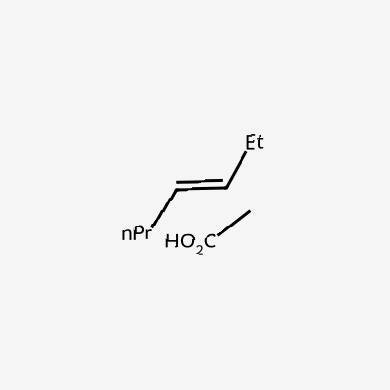 CC(=O)O.[CH2]C/C=C/CCC